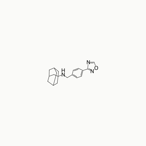 c1nc(-c2ccc(CNC34CC5CC(CC(C5)C3)C4)cc2)no1